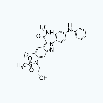 CNC(=O)c1c2cc(C3CC3)c(N(CCO)S(C)(=O)=O)cc2nn1-c1ccc(Nc2ccccc2)cc1